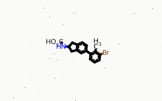 Cc1c(Br)cccc1-c1ccc2c(c1)CC(NC(=O)O)C2